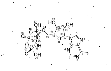 Cc1ncnc2c1ncn2[C@@H]1O[C@H](COP(=O)(O)OP(=O)(O)OP(=O)(O)O)[C@@H](O)[C@H]1O